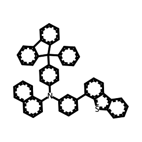 c1ccc(C2(c3ccc(N(c4cccc(-c5cccc6c5sc5ccccc56)c4)c4cccc5ccccc45)cc3)c3ccccc3-c3ccccc32)cc1